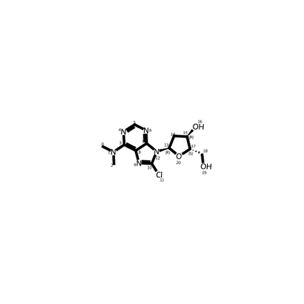 CN(C)c1ncnc2c1nc(Cl)n2[C@H]1C[C@@H](O)[C@H](CO)O1